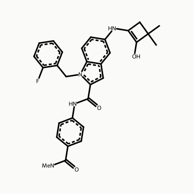 CNC(=O)c1ccc(NC(=O)c2cc3cc(NC4=C(O)C(C)(C)C4)ccc3n2Cc2ccccc2F)cc1